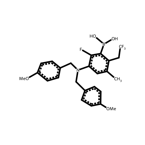 COc1ccc(CN(Cc2ccc(OC)cc2)c2cc(C)c(CC(F)(F)F)c(B(O)O)c2F)cc1